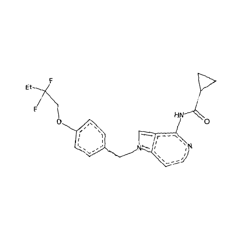 CCC(F)(F)COc1ccc(C[N+]2=c3ccnc(NC(=O)C4CC4)c3=C2)cc1